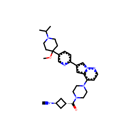 C#[N+][C@H]1C[C@H](C(=O)N2CCN(c3ccnn4cc(-c5ccc(C6(OC)CCN(C(C)C)CC6)cn5)cc34)CC2)C1